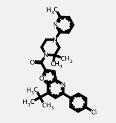 Cc1cccc(N2CCN(C(=O)c3cc4nc(-c5ccc(Cl)cc5)cc(C(C)(C)C)c4o3)C(C)(C)C2)n1